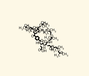 COC(C)COC(C)(C)CCNC(=O)CC[C@H](NC(=O)[C@H](CCC(=O)O)NC(=O)c1ccc(C(=O)C(CSC(C)(C)CCOC(C)(C)C)CS(=O)(=O)C(C)(C)CCOC(C)(C)C)cc1)C(=O)NCCC(C)(C)OCCC(C)(C)OC